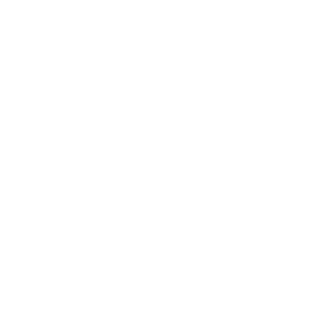 Cc1ccccc1Cc1cccc(C(C)c2cccc(C)c2C)c1